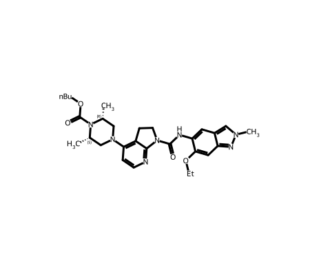 CCCCOC(=O)N1[C@H](C)CN(c2ccnc3c2CCN3C(=O)Nc2cc3cn(C)nc3cc2OCC)C[C@@H]1C